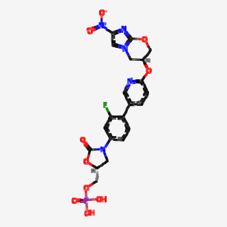 O=C1O[C@@H](COP(=O)(O)O)CN1c1ccc(-c2ccc(O[C@@H]3COc4nc([N+](=O)[O-])cn4C3)nc2)c(F)c1